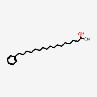 N#CC(O)CCCCCCCCCCCCCCCCc1ccccc1